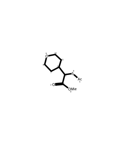 COC(=O)C(SC(C)=O)C1CCOCC1